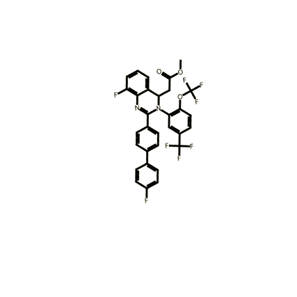 COC(=O)CC1c2cccc(F)c2N=C(c2ccc(-c3ccc(F)cc3)cc2)N1c1cc(C(F)(F)F)ccc1OC(F)(F)F